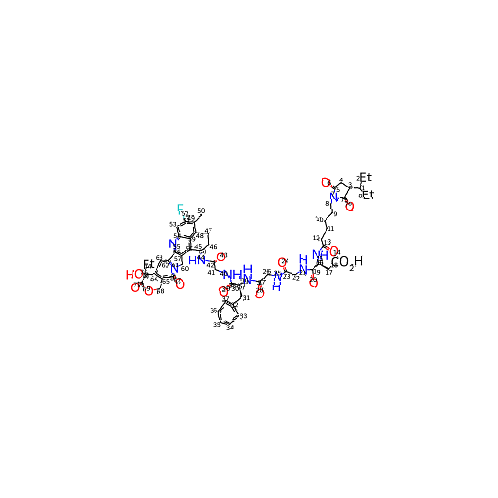 CCC(CC)C1CC(=O)N(CCCCCC(=O)N[C@@H](CC(=O)O)C(=O)NCC(=O)NCC(=O)N[C@@H](Cc2ccccc2)C(=O)NCC(=O)N[C@H]2CCc3c(C)c(F)cc4nc5c(c2c34)Cn2c-5cc3c(c2=O)COC(=O)[C@]3(O)CC)C1=O